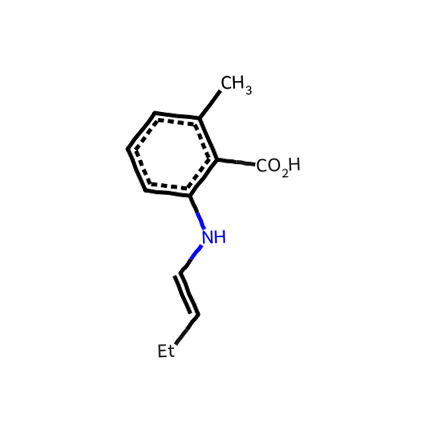 CC/C=C/Nc1cccc(C)c1C(=O)O